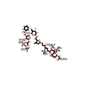 C=C1C[C@H](CCC(=O)/C=C/[C@H](O[Si](C)(C)C(C)(C)C)[C@@H]2O[C@H]3CC[C@H](CC(=O)OC)O[C@@H]3[C@H](O[Si](C)(C)C(C)(C)C)[C@@H]2O[Si](C)(C)C(C)(C)C)OC1CC[C@H]1C[C@@H](C)C(=C)[C@@H](C[C@@H]2O[C@H](CC(CO[Si](C)(C)C(C)(C)C)O[Si](C)(C)C(C)(C)C)[C@H](OC)[C@H]2CS(=O)(=O)c2ccccc2)O1